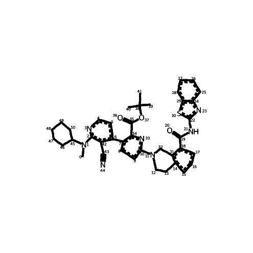 CN(c1nccc(-c2ccc(N3CCc4cccc(C(=O)Nc5nc6ccccc6s5)c4C3)nc2C(=O)OC(C)(C)C)c1C#N)C1CCCCC1